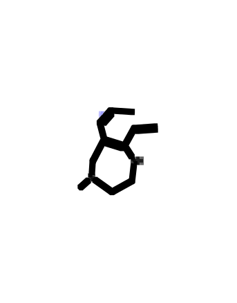 C=CC1=C(/C=C\C)CN(C)CCN1